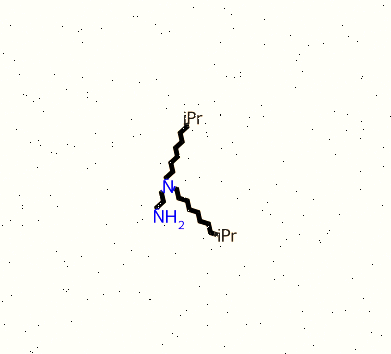 CC(C)CCCCCCCCN(CCCN)CCCCCCCCC(C)C